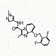 Cc1nc2c(OCc3c(F)cccc3F)cccn2c1C(=O)Nc1cnn(C)c1